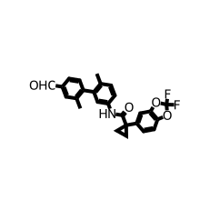 Cc1cc(C=O)ccc1-c1cc(NC(=O)C2(c3ccc4c(c3)OC(F)(F)O4)CC2)ccc1C